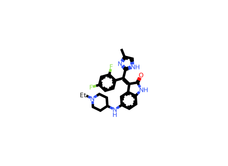 CCN1CCC(Nc2ccc3c(c2)C(=C(c2nc(C)c[nH]2)c2ccc(F)cc2F)C(=O)N3)CC1